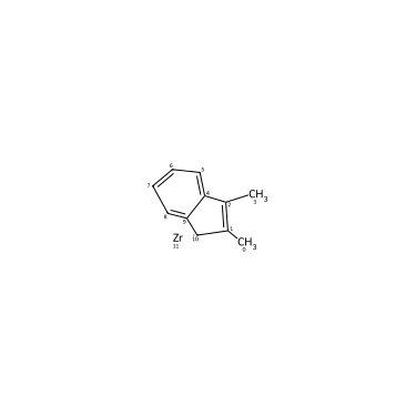 CC1=C(C)c2ccccc2[CH]1.[Zr]